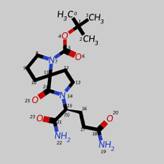 CC(C)(C)OC(=O)N1CCCC12CCN([C@@H](CCC(N)=O)C(N)=O)C2=O